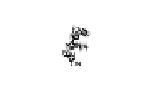 CCN1CCOC[C@H]1c1cc(-c2cnc(-n3ncc4cc(C#N)cnc43)cc2NC(C)C)no1